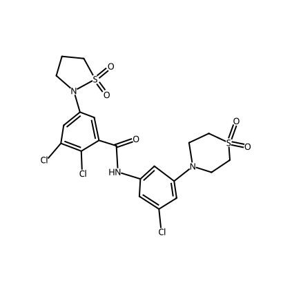 O=C(Nc1cc(Cl)cc(N2CCS(=O)(=O)CC2)c1)c1cc(N2CCCS2(=O)=O)cc(Cl)c1Cl